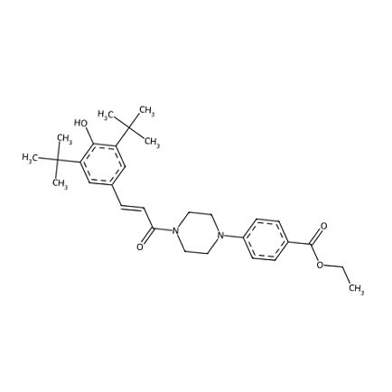 CCOC(=O)c1ccc(N2CCN(C(=O)C=Cc3cc(C(C)(C)C)c(O)c(C(C)(C)C)c3)CC2)cc1